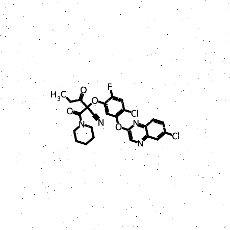 CCC(=O)C(C#N)(Oc1cc(Oc2cnc3cc(Cl)ccc3n2)c(Cl)cc1F)C(=O)N1CCCCC1